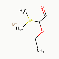 CCOC(C=O)[S+](C)C.[Br-]